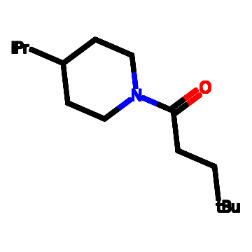 CC(C)C1CCN(C(=O)CCC(C)(C)C)CC1